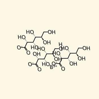 O=C([O-])[C@H](O)[C@@H](O)[C@H](O)[C@H](O)CO.O=C([O-])[C@H](O)[C@@H](O)[C@H](O)[C@H](O)CO.O=C([O-])[C@H](O)[C@@H](O)[C@H](O)[C@H](O)CO.[B+3]